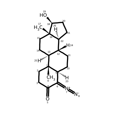 C[C@]12CCC(=O)C(=[N+]=[N-])[C@@H]1CC[C@@H]1[C@@H]2CC[C@]2(C)[C@@H](O)CC[C@@H]12